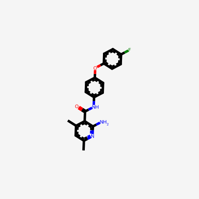 Cc1cc(C)c(C(=O)Nc2ccc(Oc3ccc(F)cc3)cc2)c(N)n1